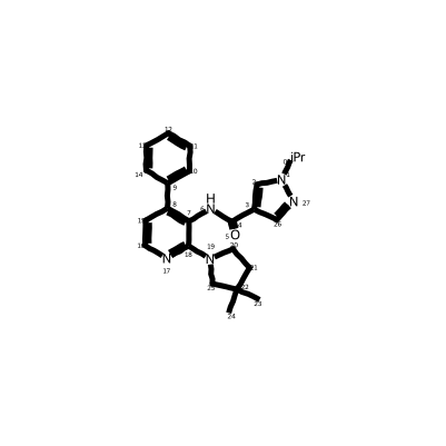 CC(C)n1cc(C(=O)Nc2c(-c3ccccc3)ccnc2N2CCC(C)(C)C2)cn1